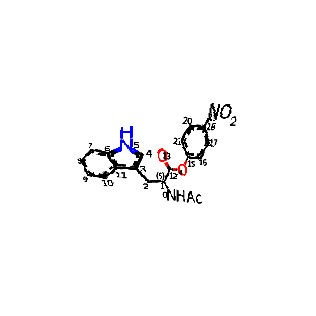 CC(=O)N[C@@H](Cc1c[nH]c2ccccc12)C(=O)Oc1ccc([N+](=O)[O-])cc1